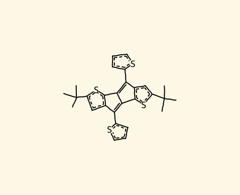 CC(C)(C)c1cc2c(s1)C1=C(c3cccs3)c3cc(C(C)(C)C)sc3C1=C2c1cccs1